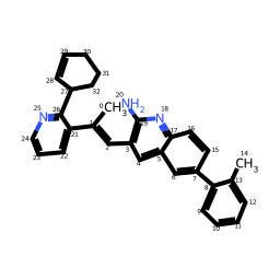 CC(=Cc1cc2cc(-c3ccccc3C)ccc2nc1N)c1cccnc1C1C=CCCC1